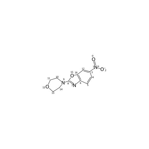 O=[N+]([O-])c1ccc2nc(N3CCOCC3)oc2c1